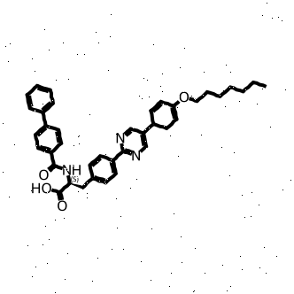 CCCCCCCOC1=CCC(c2cnc(-c3ccc(C[C@H](NC(=O)c4ccc(-c5ccccc5)cc4)C(=O)O)cc3)nc2)C=C1